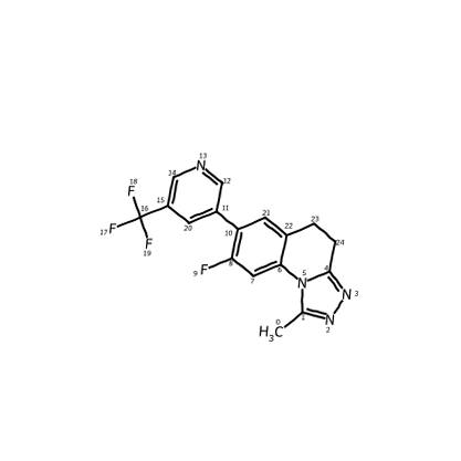 Cc1nnc2n1-c1cc(F)c(-c3cncc(C(F)(F)F)c3)cc1CC2